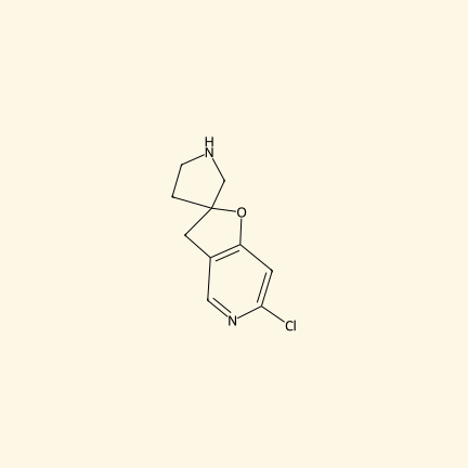 Clc1cc2c(cn1)CC1(CCNC1)O2